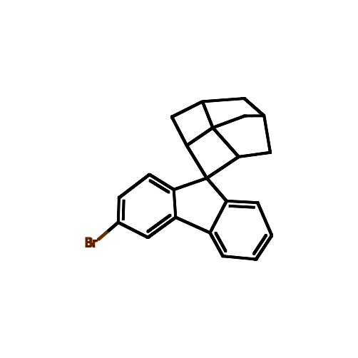 Brc1ccc2c(c1)-c1ccccc1C21C2CC3CC4CC1C42C3